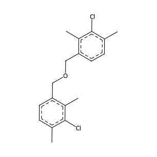 Cc1ccc(COCc2ccc(C)c(Cl)c2C)c(C)c1Cl